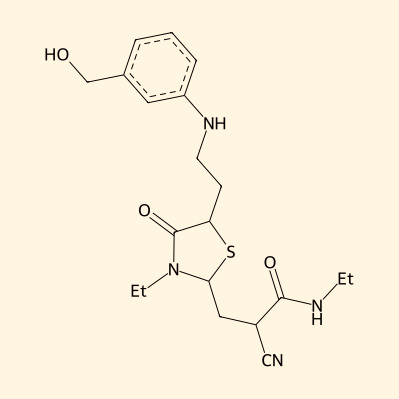 CCNC(=O)C(C#N)CC1SC(CCNc2cccc(CO)c2)C(=O)N1CC